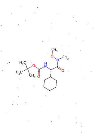 CON(C)C(=O)C(NC(=O)OC(C)(C)C)C1CCCCC1